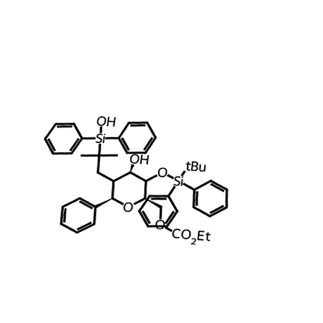 CCOC(=O)OC[C@H]1O[C@@H](c2ccccc2)C(CC(C)(C)[Si](O)(c2ccccc2)c2ccccc2)[C@@H](O)C1O[Si](c1ccccc1)(c1ccccc1)C(C)(C)C